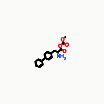 COC(=O)OC(=O)[C@@H](N)Cc1ccc(-c2ccccc2)cc1